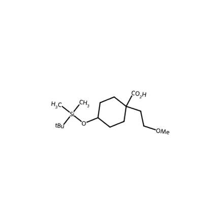 COCCC1(C(=O)O)CCC(O[Si](C)(C)C(C)(C)C)CC1